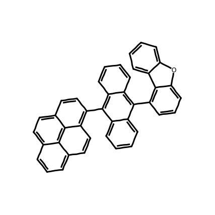 c1cc2ccc3ccc(-c4c5ccccc5c(-c5cccc6oc7ccccc7c56)c5ccccc45)c4ccc(c1)c2c34